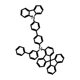 c1ccc(-c2cccc(N(c3ccc(-c4ccc(-n5c6ccccc6c6ccccc65)cc4)cc3)c3cccc4c3-c3ccccc3C43c4ccccc4-c4ccccc43)c2)cc1